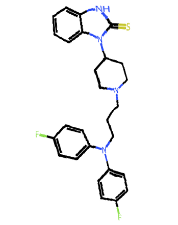 Fc1ccc(N(CCCN2CCC(n3c(=S)[nH]c4ccccc43)CC2)c2ccc(F)cc2)cc1